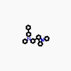 c1ccc(-c2ccc(N(c3ccccc3)c3cccc(-c4cccc5c4c4ccccc4n5-c4ccccc4)c3)cc2)cc1